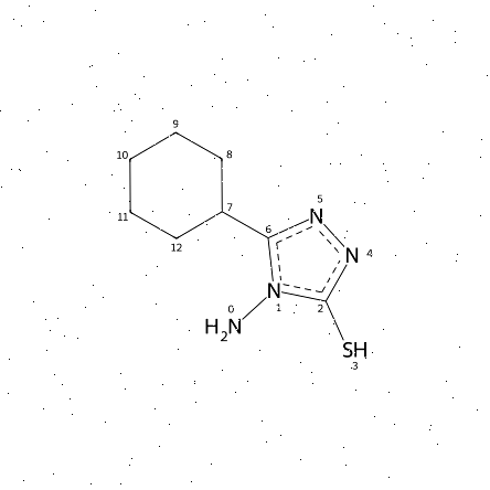 Nn1c(S)nnc1C1CCCCC1